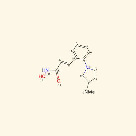 CNC1CCN(c2ccccc2/C=C/C(=O)NO)C1